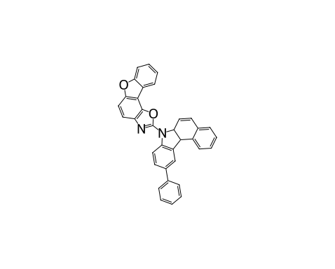 C1=CC2C(c3ccccc31)c1cc(-c3ccccc3)ccc1N2c1nc2ccc3oc4ccccc4c3c2o1